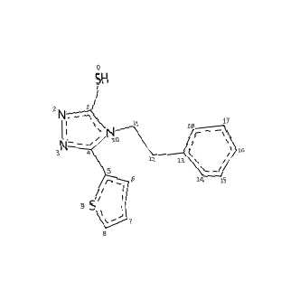 Sc1nnc(-c2cccs2)n1CCc1ccccc1